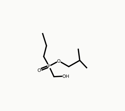 CCCP(=O)(CO)OCC(C)C